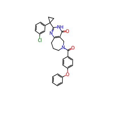 O=C(c1ccc(Oc2ccccc2)cc1)N1CCCc2nc(C3(c4cccc(Cl)c4)CC3)[nH]c(=O)c2C1